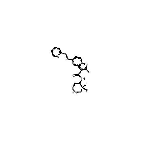 Cc1oc2ccc(OCc3ccccn3)cc2c1C(=O)NC1CCNCC1(F)F